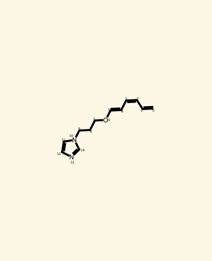 C=C/C=C\C=C\OCCCn1ccnc1